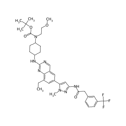 CCc1cc(-c2cc(NC(=O)Cc3cccc(C(F)(F)F)c3)nn2C)cc2cnc(NC3CCC(N(CCOC)C(=O)OC(C)(C)C)CC3)nc12